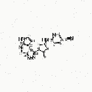 CC1CC(Nc2ccc(C#N)cn2)CC1c1nnc2cnc3[nH]ccc3n12